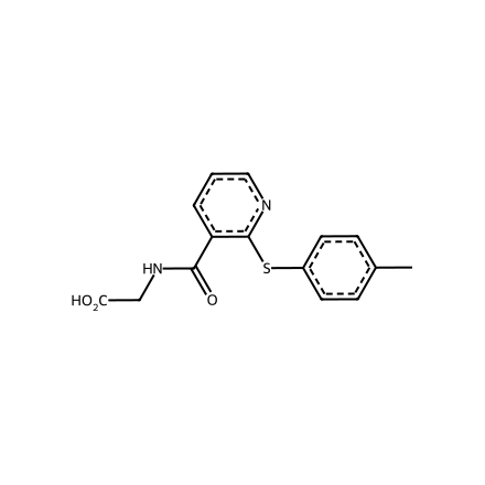 Cc1ccc(Sc2ncccc2C(=O)NCC(=O)O)cc1